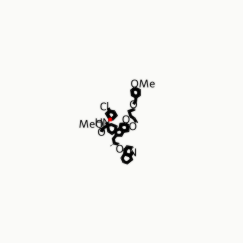 COC(=O)C1(Nc2cccc(Cl)c2)CCC2(CC1)c1cc3c(cc1CC2C[C@@H](C)COc1ccnc2c1CCCC2)OCCC(CCOCc1ccc(OC)cc1)O3